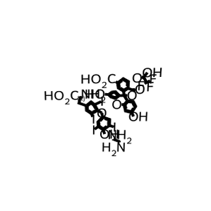 NCCN.N[C@H](Cc1cc(I)c(Oc2cc(I)c(O)c(I)c2)c(I)c1)C(=O)O.O=C(O)C(F)(F)F.O=C(O)c1ccc2c(c1)C1(OC2=O)c2ccc(O)cc2Oc2cc(O)ccc21